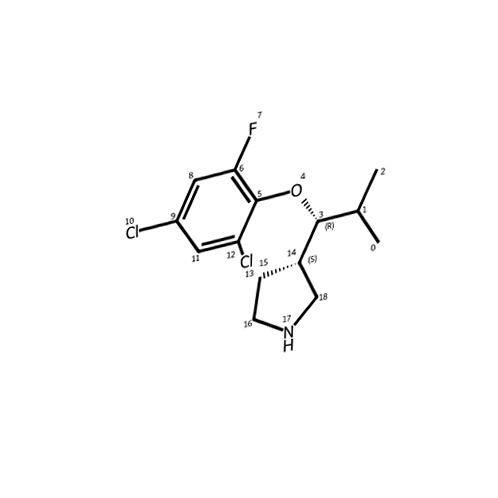 CC(C)[C@@H](Oc1c(F)cc(Cl)cc1Cl)[C@H]1CCNC1